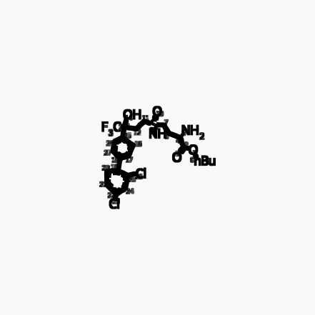 CCCCOC(=O)[C@@H](N)CCS(=N)(=O)CCC(O)(c1ccc(-c2ccc(Cl)cc2Cl)cc1)C(F)(F)F